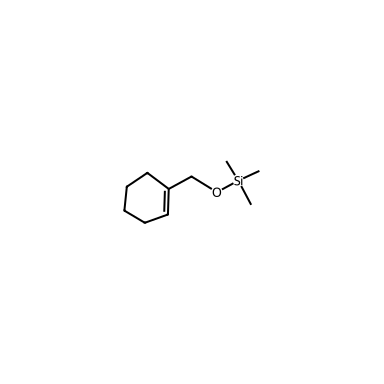 C[Si](C)(C)OCC1=CCCCC1